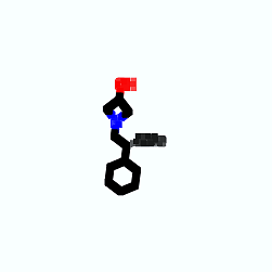 CN[C@@H](CN1CC(O)C1)C1CCCCC1